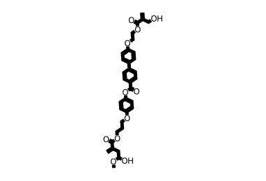 C=C(CO)C(=O)OCCOc1ccc(-c2ccc(C(=O)Oc3ccc(OCCCOC(=O)C(=C)CC(O)OC)cc3)cc2)cc1